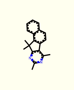 Cc1nc(C)c2c(n1)C(C)(C)c1c-2ccc2ccccc12